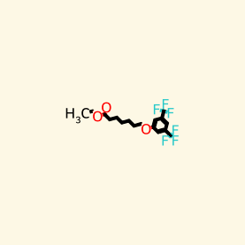 CCOC(=O)CCCCCCOc1cc(C(F)(F)F)cc(C(F)(F)F)c1